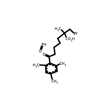 Cc1cc(C)c(C(=O)CCCCC(C)(CC(C)C)C(=O)O)c(C)c1.O=P